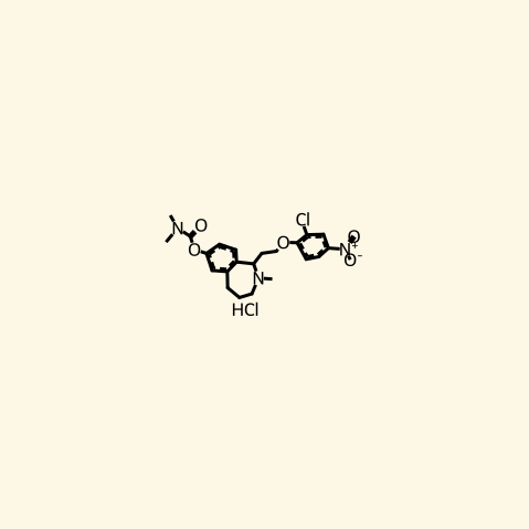 CN(C)C(=O)Oc1ccc2c(c1)CCCN(C)C2CCOc1ccc([N+](=O)[O-])cc1Cl.Cl